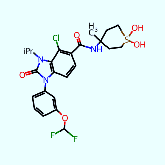 CC(C)n1c(=O)n(-c2cccc(OC(F)F)c2)c2ccc(C(=O)NC3(C)CCS(O)(O)CC3)c(Cl)c21